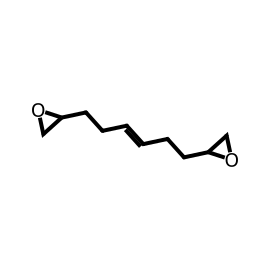 C(=CCCC1CO1)CCC1CO1